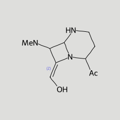 CNC1/C(=C/O)N2C(C(C)=O)CCNC12